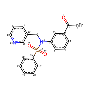 CCCC(=O)c1cccc(N(Cc2cccnc2)S(=O)(=O)c2ccccc2)c1